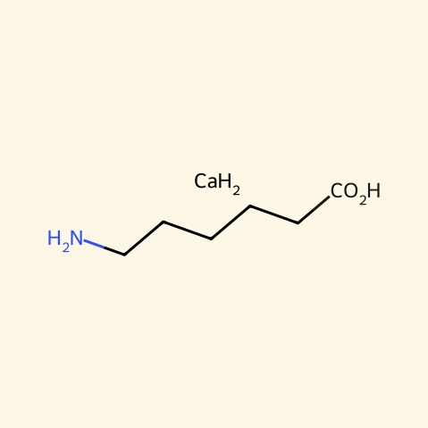 NCCCCCC(=O)O.[CaH2]